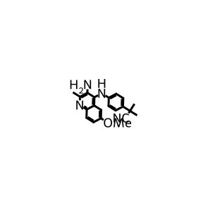 COc1ccc2nc(C)c(N)c(Nc3ccc(C(C)(C)C#N)cc3)c2c1